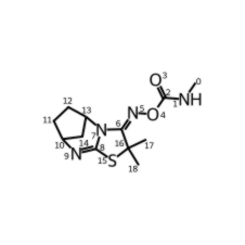 CNC(=O)ON=C1N2C(=NC3CCC2C3)SC1(C)C